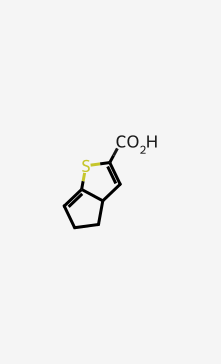 O=C(O)C1=CC2CCC=C2S1